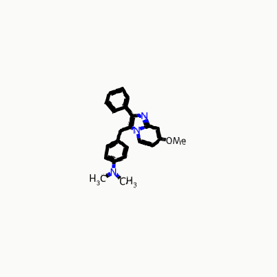 COc1ccn2c(Cc3ccc(N(C)C)cc3)c(-c3ccccc3)nc2c1